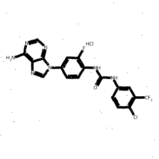 Cl.Nc1ncnc2c1ncn2-c1ccc(NC(=O)Nc2ccc(Cl)c(C(F)(F)F)c2)c(F)c1